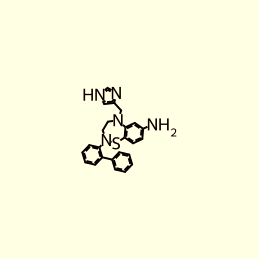 Nc1ccc2c(c1)N(Cc1c[nH]cn1)CCN(c1ccccc1-c1ccccc1)S2